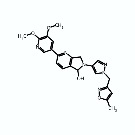 COc1cc(-c2ccc3c(n2)CN(c2cnn(Cc4cc(C)on4)c2)C3O)cnc1OC